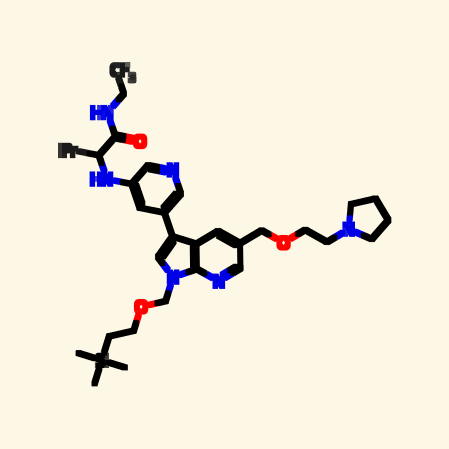 CC(C)C(Nc1cncc(-c2cn(COCC[Si](C)(C)C)c3ncc(COCCN4CCCC4)cc23)c1)C(=O)NCC(F)(F)F